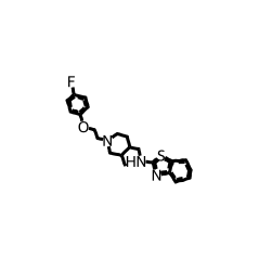 CC1CN(CCOc2ccc(F)cc2)CCC1CNc1nc2ccccc2s1